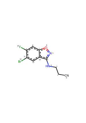 N#CCCNc1noc2cc(F)c(Br)cc12